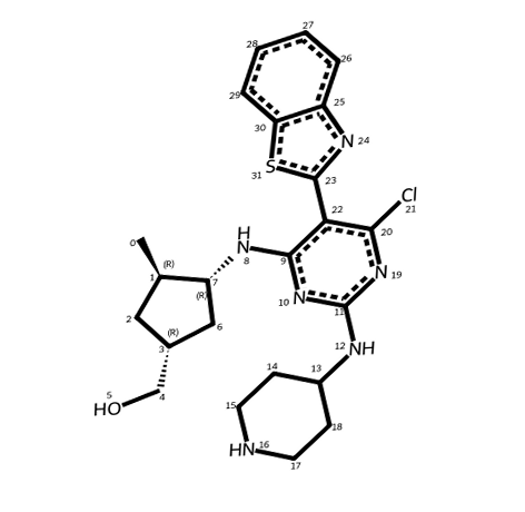 C[C@@H]1C[C@@H](CO)C[C@H]1Nc1nc(NC2CCNCC2)nc(Cl)c1-c1nc2ccccc2s1